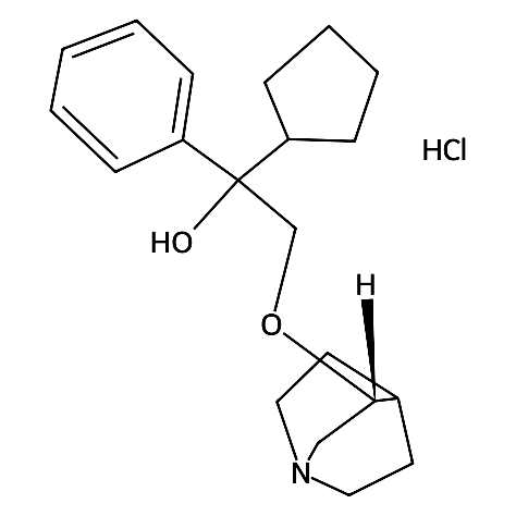 Cl.OC(CO[C@H]1CN2CCC1CC2)(c1ccccc1)C1CCCC1